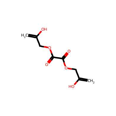 C=C(O)COC(=O)C(=O)OCC(=C)O